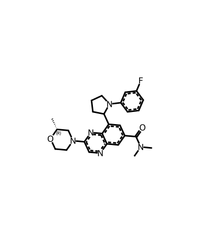 C[C@@H]1CN(c2cnc3cc(C(=O)N(C)C)cc(C4CCCN4c4cccc(F)c4)c3n2)CCO1